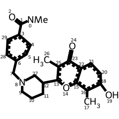 CNC(=O)c1ccc(CN2CCCC(c3oc4c(C)c(O)ccc4c(=O)c3C)C2)cc1